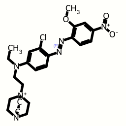 CCN(CC[N+]12CCN(CC1)CC2)c1ccc(/N=N/c2ccc([N+](=O)[O-])cc2OC)c(Cl)c1